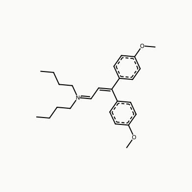 CCCC[N+](=CC=C(c1ccc(OC)cc1)c1ccc(OC)cc1)CCCC